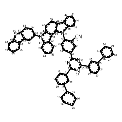 N#Cc1cc(-c2nc(-c3cccc(-c4ccccc4)c3)nc(-c3cccc(-c4ccccc4)c3)n2)ccc1-n1c2ccccc2c2ccc3c(c4ccccc4n3-c3ccc4sc5ccccc5c4c3)c21